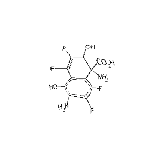 Nc1c(O)c2c(c(F)c1F)C(N)(C(=O)O)C(O)C(F)=C2F